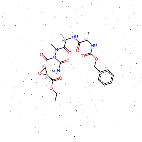 CCOC(=O)[C@H]1O[C@@H]1C(=O)N(C(N)=O)N(C)C(=O)[C@H](C)NC(=O)[C@H](C)NC(=O)OCc1ccccc1